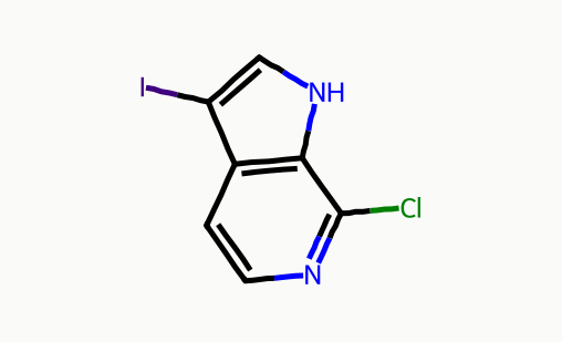 Clc1nccc2c(I)c[nH]c12